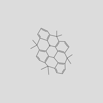 CC1(C)c2cccc3c2B2c4c1ccc1c4C4c5c(cccc5C(C)(C)c5ccc(c2c54)C3(C)C)C1(C)C